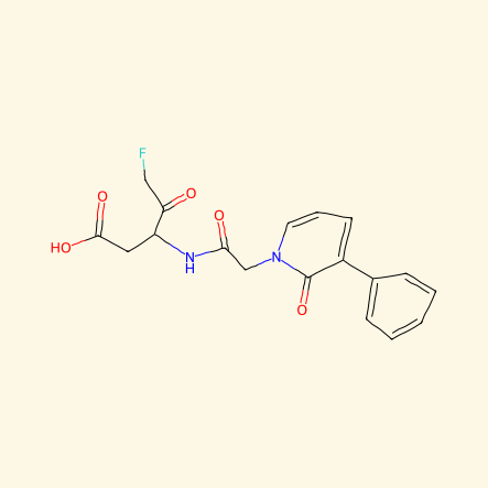 O=C(O)CC(NC(=O)Cn1cccc(-c2ccccc2)c1=O)C(=O)CF